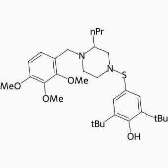 CCCC1CN(Sc2cc(C(C)(C)C)c(O)c(C(C)(C)C)c2)CCN1Cc1ccc(OC)c(OC)c1OC